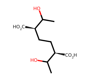 CC(O)[C@@H](CC[C@@H](C(=O)O)C(C)O)C(=O)O